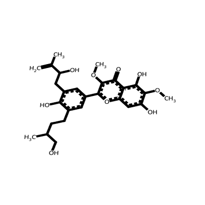 C=C(C)C(O)Cc1cc(-c2oc3cc(O)c(OC)c(O)c3c(=O)c2OC)cc(CCC(C)CO)c1O